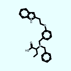 CCC(C(=O)O)N(Cc1ccccc1)Cc1cccc(OCCc2cc3ccccc3[nH]2)c1